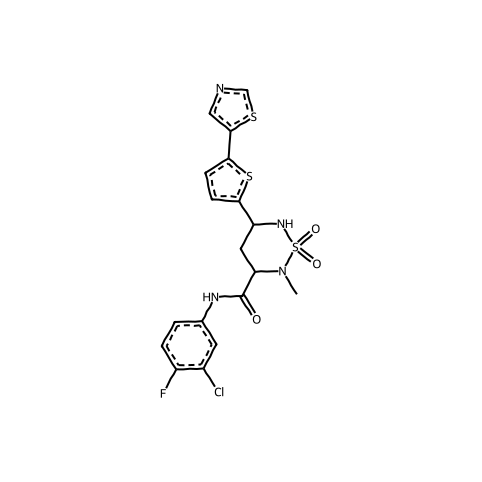 CN1C(C(=O)Nc2ccc(F)c(Cl)c2)CC(c2ccc(-c3cncs3)s2)NS1(=O)=O